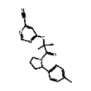 Cc1ccc(C2CCCN2C(=O)C(C)(C)Oc2cc(C#N)ncn2)cc1